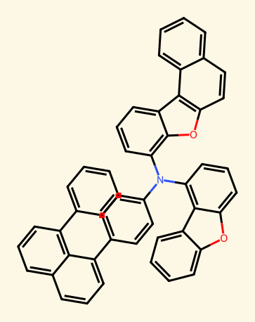 c1ccc(-c2cccc3cccc(-c4ccc(N(c5cccc6c5oc5ccc7ccccc7c56)c5cccc6oc7ccccc7c56)cc4)c23)cc1